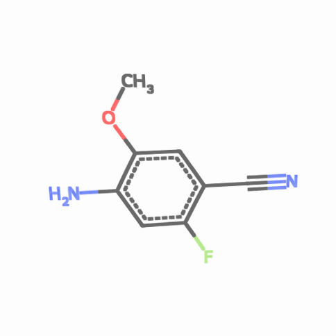 COc1cc(C#N)c(F)cc1N